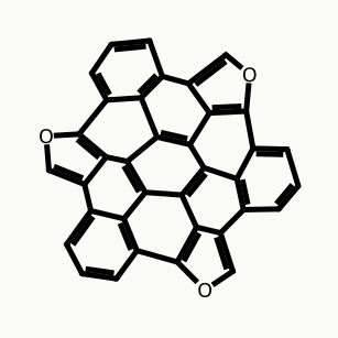 c1cc2c3coc4c5cccc6c7coc8c9cccc%10c%11coc%12c(c1)c2c1c(c34)c(c65)c(c78)c(c%109)c1c%11%12